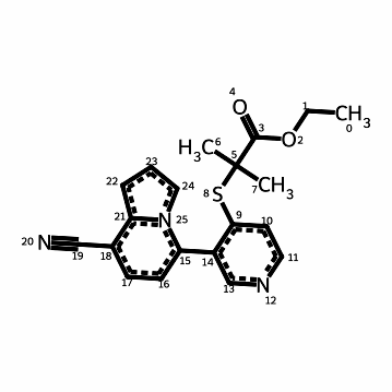 CCOC(=O)C(C)(C)Sc1ccncc1-c1ccc(C#N)c2cccn12